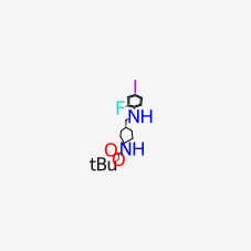 CC(C)(C)OC(=O)N[C@H]1CC[C@@H](CNc2ccc(I)cc2F)CC1